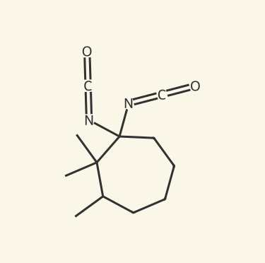 CC1CCCCC(N=C=O)(N=C=O)C1(C)C